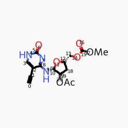 C#Cc1c[nH]c(=O)nc1N[C@@H]1O[C@H](COC(=O)OC)C[C@H]1OC(C)=O